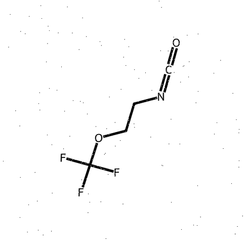 O=C=NCCOC(F)(F)F